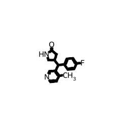 Cc1ccncc1C(c1ccc(F)cc1)C1CNC(=O)C1